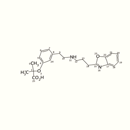 CC(C)(Oc1cccc(CCNCCCc2nc3ccccc3o2)c1)C(=O)O